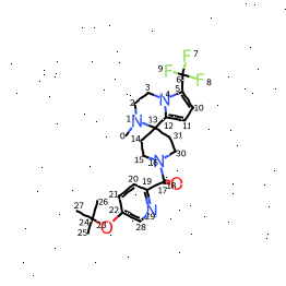 CN1CCn2c(C(F)(F)F)ccc2C12CCN(C(=O)c1ccc(OC(C)(C)C)cn1)CC2